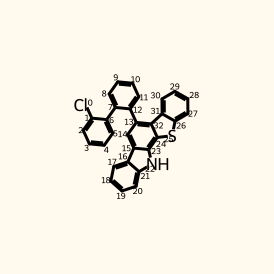 Clc1ccccc1-c1ccccc1-c1cc2c3ccccc3[nH]c2c2sc3ccccc3c12